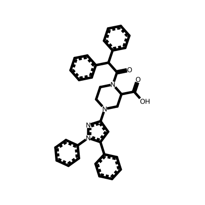 O=C(O)C1CN(c2cc(-c3ccccc3)n(-c3ccccc3)n2)CCN1C(=O)C(c1ccccc1)c1ccccc1